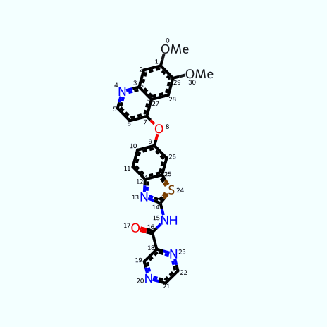 COc1cc2nccc(Oc3ccc4nc(NC(=O)c5cnccn5)sc4c3)c2cc1OC